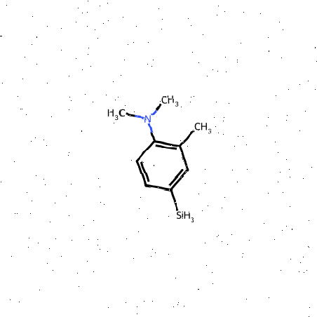 Cc1cc([SiH3])ccc1N(C)C